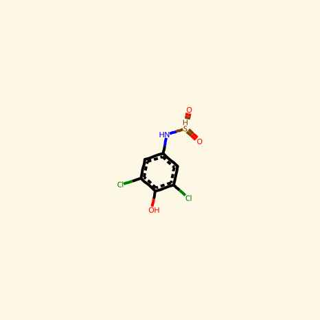 O=[SH](=O)Nc1cc(Cl)c(O)c(Cl)c1